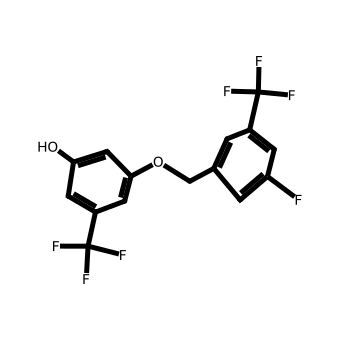 Oc1cc(OCc2cc(F)cc(C(F)(F)F)c2)cc(C(F)(F)F)c1